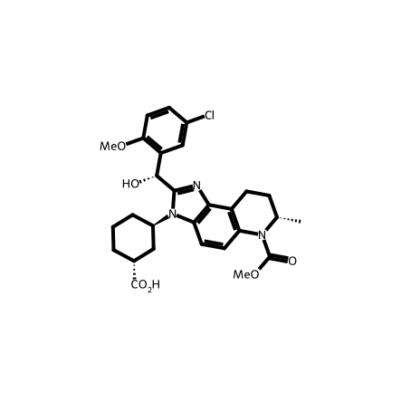 COC(=O)N1c2ccc3c(nc([C@H](O)c4cc(Cl)ccc4OC)n3[C@@H]3CCC[C@@H](C(=O)O)C3)c2CC[C@@H]1C